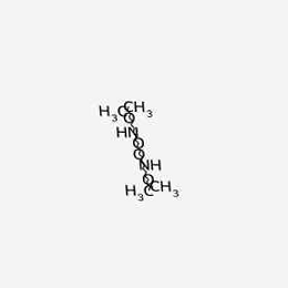 CC(C)COCCCNCCOCCOCCNCCCOCC(C)C